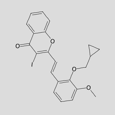 COc1cccc(/C=C/c2oc3ccccc3c(=O)c2I)c1OCC1CC1